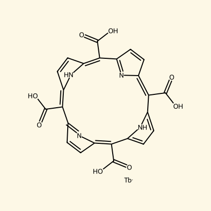 O=C(O)c1c2nc(c(C(=O)O)c3ccc([nH]3)c(C(=O)O)c3nc(c(C(=O)O)c4ccc1[nH]4)C=C3)C=C2.[Tb]